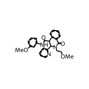 COCCN1C(=O)c2ccccc2C(C(=O)Nc2cccc(OC)c2)C1c1ccccn1